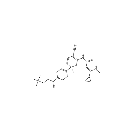 C#CC1=C(NC(=C)/C=C(\NC)C2CC2)C[C@@](C)(C2=CCN(C(=O)CCC(C)(C)C)CC2)N=C1